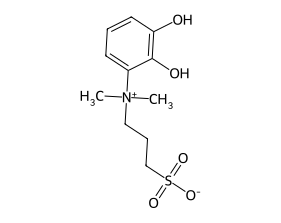 C[N+](C)(CCCS(=O)(=O)[O-])c1cccc(O)c1O